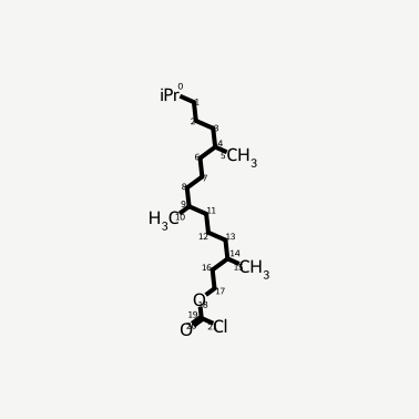 CC(C)CCCC(C)CCCC(C)CCCC(C)CCOC(=O)Cl